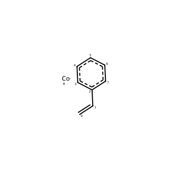 C=Cc1ccccc1.[Co]